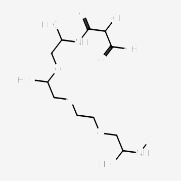 CNC(C)COCCOCC(C)OCC(C)NC(=O)C(C)C(C)=O